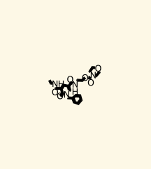 CCNC(=O)c1cc(C(=O)NCCOC(=O)N2CCOCC2)cn(Cc2ccccc2)c1=O